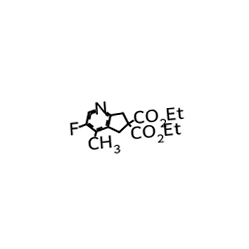 CCOC(=O)C1(C(=O)OCC)Cc2ncc(F)c(C)c2C1